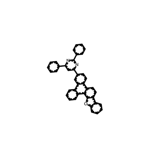 c1ccc(-c2cc(-c3ccc4c(c3)c3ccccc3c3c4ccc4c5ccccc5oc43)nc(-c3ccccc3)n2)cc1